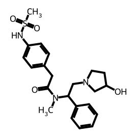 CN(C(=O)Cc1ccc(NS(C)(=O)=O)cc1)C(CN1CCC(O)C1)c1ccccc1